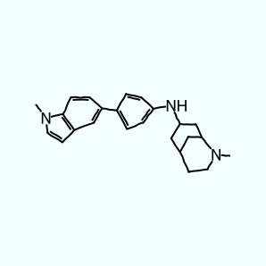 CN1CCC2CC(Nc3ccc(-c4ccc5c(ccn5C)c4)cc3)CC1C2